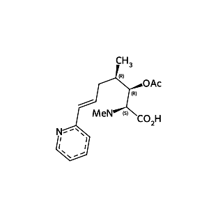 CN[C@H](C(=O)O)[C@H](OC(C)=O)[C@H](C)CC=Cc1ccccn1